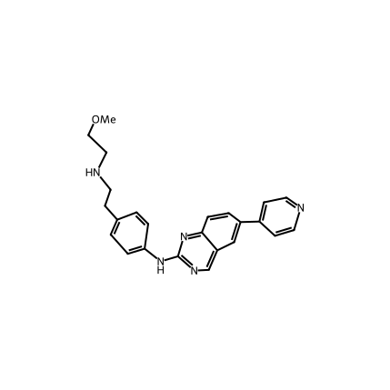 COCCNCCc1ccc(Nc2ncc3cc(-c4ccncc4)ccc3n2)cc1